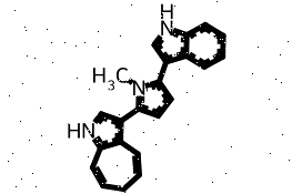 Cn1c(-c2c[nH]c3c2C=CCC=C3)ccc1-c1c[nH]c2ccccc12